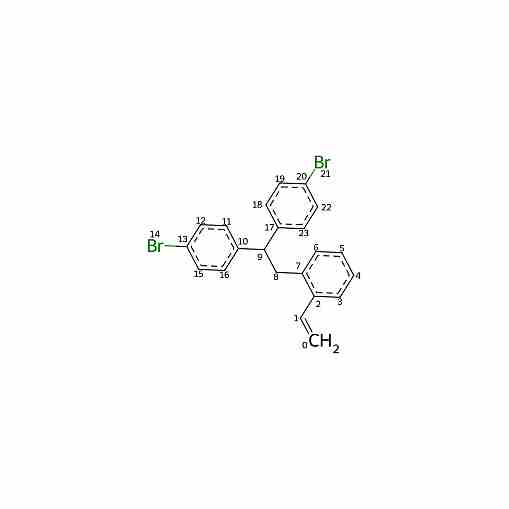 C=Cc1ccccc1CC(c1ccc(Br)cc1)c1ccc(Br)cc1